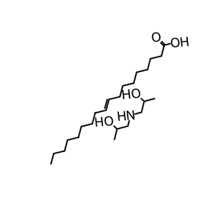 CC(O)CNCC(C)O.CCCCCCCCC=CCCCCCCCC(=O)O